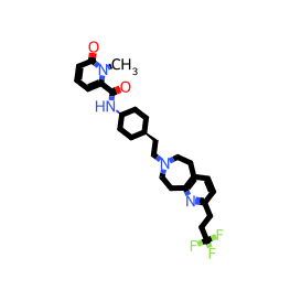 Cn1c(C(=O)N[C@H]2CC[C@H](CCN3CCc4ccc(CCC(F)(F)F)nc4CC3)CC2)cccc1=O